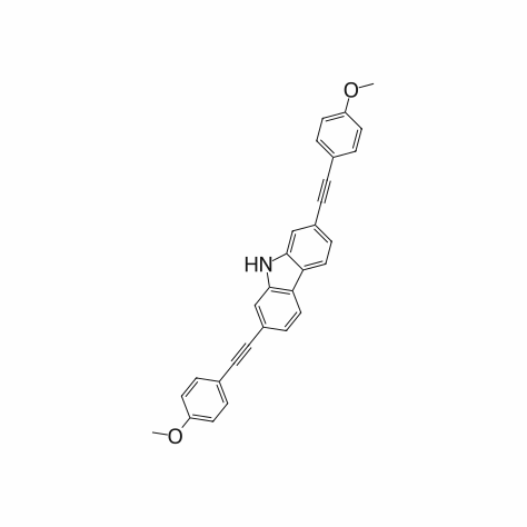 COc1ccc(C#Cc2ccc3c(c2)[nH]c2cc(C#Cc4ccc(OC)cc4)ccc23)cc1